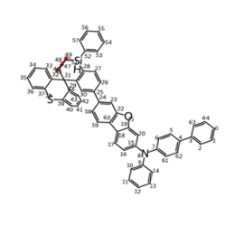 c1ccc(-c2ccc(N(c3ccccc3)c3ccc4c(c3)oc3cc(-c5ccc6c(c5)C5(c7ccccc7Sc7ccccc75)c5ccccc5[SiH]6c5ccccc5)ccc34)cc2)cc1